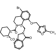 Cc1nc(COc2ccc(Br)c3c2[C@@H](CN2Cc4ccccc4C2=O)N(C(=O)[C@@H]2CCCC[C@@H]2C(=O)O)CC3)no1